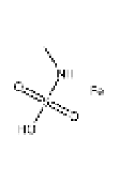 CNS(=O)(=O)O.[Fe]